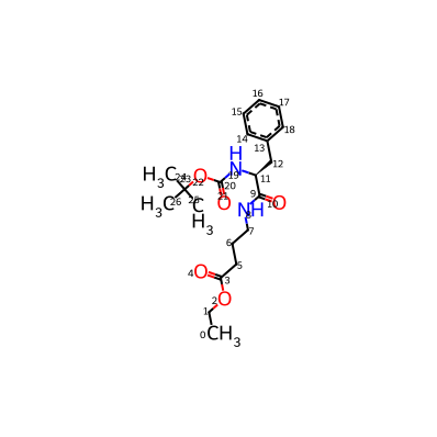 CCOC(=O)CCCNC(=O)[C@H](Cc1ccccc1)NC(=O)OC(C)(C)C